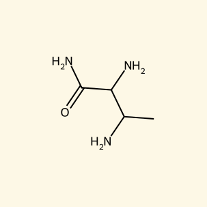 CC(N)C(N)C(N)=O